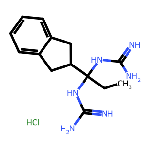 CCC(NC(=N)N)(NC(=N)N)C1Cc2ccccc2C1.Cl